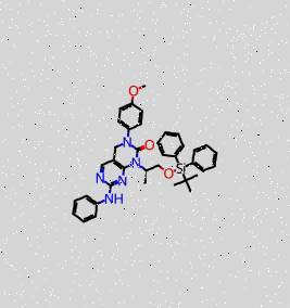 COc1ccc(N2Cc3cnc(Nc4ccccc4)nc3N([C@H](C)CO[Si](c3ccccc3)(c3ccccc3)C(C)(C)C)C2=O)cc1